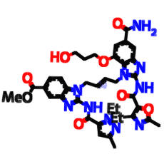 CCc1nc(C)oc1C(=O)Nc1nc2cc(C(N)=O)cc(OCCCO)c2n1C/C=C/Cn1c(NC(=O)c2cc(C)nn2CC)nc2cc(C(=O)OC)ccc21